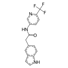 O=C(Cc1ccc2[nH]ccc2c1)Nc1ccc(C(F)(F)F)nc1